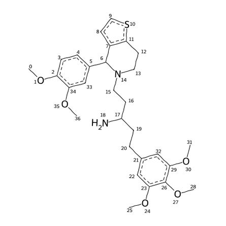 COc1ccc(C2c3ccsc3CCN2CCC(N)CCc2cc(OC)c(OC)c(OC)c2)cc1OC